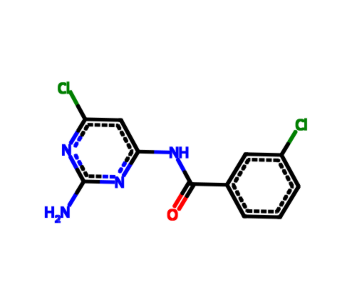 Nc1nc(Cl)cc(NC(=O)c2cccc(Cl)c2)n1